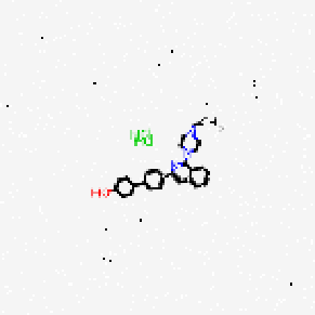 CCN1CCN(c2nc(-c3ccc(C4CCC(O)CC4)cc3)cc3ccccc23)CC1.Cl.Cl